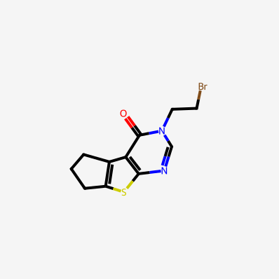 O=c1c2c3c(sc2ncn1CCBr)CCC3